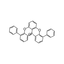 O=P12c3cccc(-c4ccccc4)c3Oc3cccc(c31)Oc1c(-c3ccccc3)cccc12